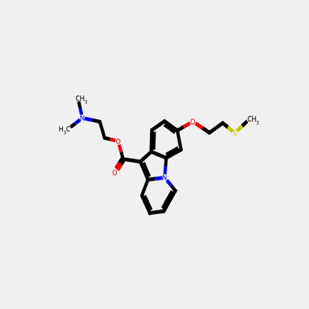 CSCCOc1ccc2c(C(=O)OCCN(C)C)c3ccccn3c2c1